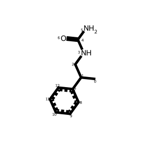 CC(CNC(N)=O)c1ccccc1